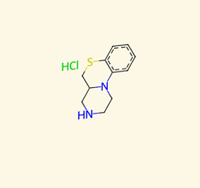 Cl.c1ccc2c(c1)SCC1CNCCN21